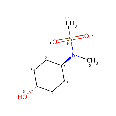 CN([C@H]1CC[C@H](O)CC1)S(C)(=O)=O